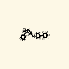 CN(CC#CCN1CCC(c2ccccc2)CC1)S(=O)(=O)c1ccccc1